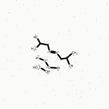 CC(C#N)CN=NCC(C)C#N.CC(C)OOC(C)C.O=C(O)O